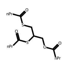 CCCC(=O)OCC(CSC(=O)CCC)SC(=O)CCC